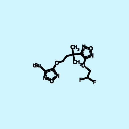 CC(C)(C)c1nonc1OCCC(C)(C)c1nonc1OCC(F)F